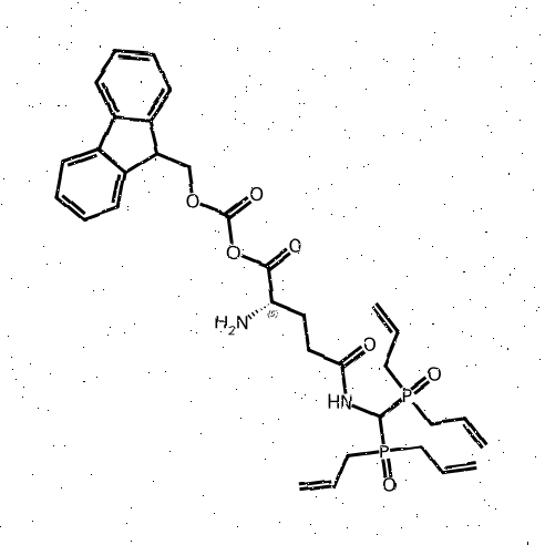 C=CCP(=O)(CC=C)C(NC(=O)CC[C@H](N)C(=O)OC(=O)OCC1c2ccccc2-c2ccccc21)P(=O)(CC=C)CC=C